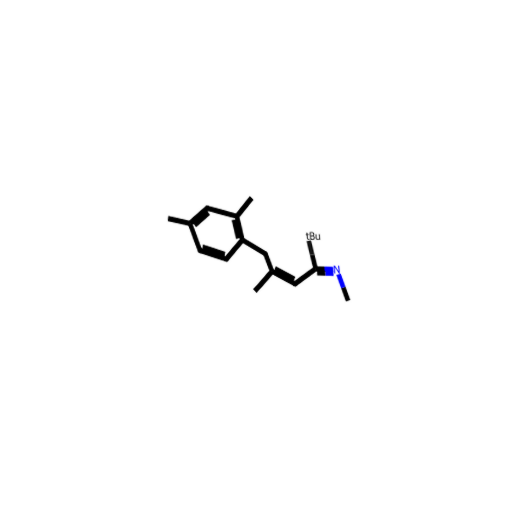 C/N=C(\C=C(\C)Cc1ccc(C)cc1C)C(C)(C)C